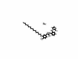 CCCCCCCCCCCCCCOc1cc(CC(=O)Nc2ccccc2C[n+]2ccsc2C)ccc1Cl.[Br-]